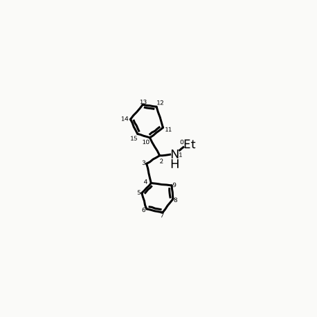 CCNC(Cc1ccccc1)c1ccccc1